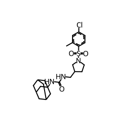 Cc1cc(Cl)ccc1S(=O)(=O)N1CCC(CNC(=O)NC23CC4CC(CC(C4)C2)C3)C1